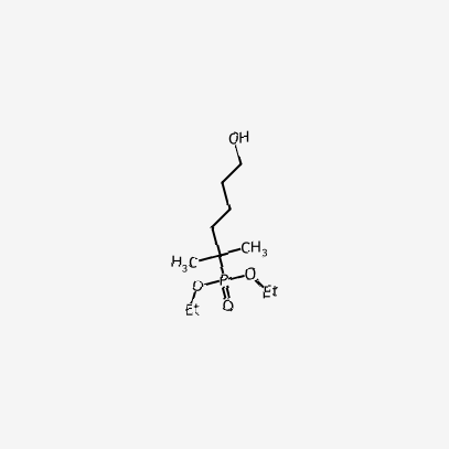 CCOP(=O)(OCC)C(C)(C)CCCCO